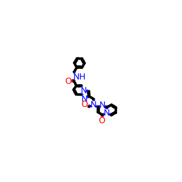 O=CN(Cc1cn2cc(C(=O)NCc3ccccc3)ccc2n1)c1cc(=O)n2ccccc2n1